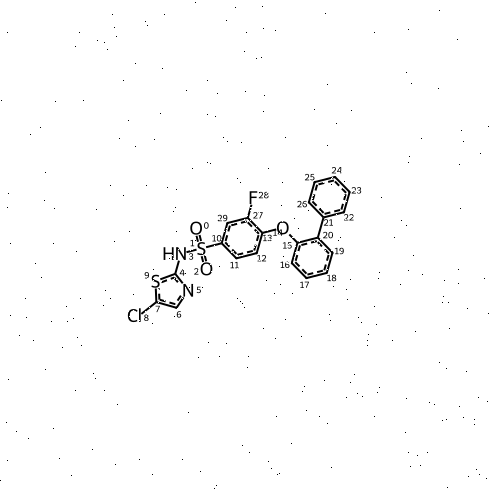 O=S(=O)(Nc1ncc(Cl)s1)c1ccc(Oc2ccccc2-c2ccccc2)c(F)c1